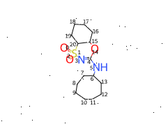 O=S1(=O)N=C(NC2CCCCCCC2)OC2CCCCC21